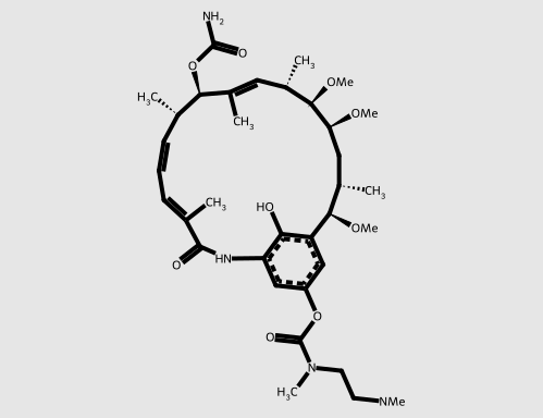 CNCCN(C)C(=O)Oc1cc2c(O)c(c1)[C@H](OC)[C@@H](C)C[C@H](OC)[C@H](OC)[C@@H](C)/C=C(\C)[C@H](OC(N)=O)[C@@H](C)/C=C\C=C(/C)C(=O)N2